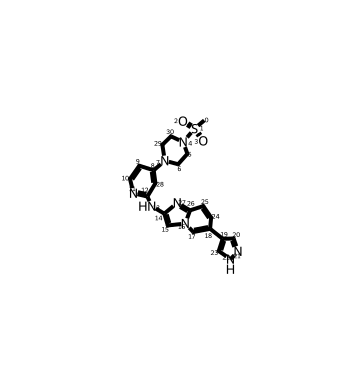 CS(=O)(=O)N1CCN(c2ccnc(Nc3cn4cc(-c5cn[nH]c5)ccc4n3)c2)CC1